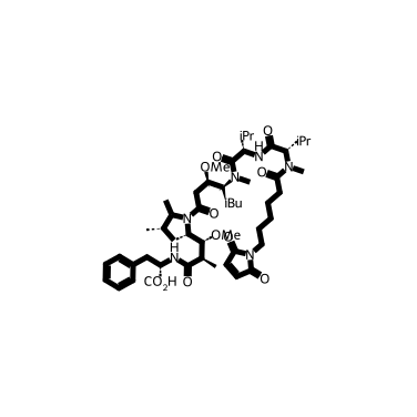 CC[C@H](C)[C@@H]([C@@H](CC(=O)N1C(C)[C@@H](C)C[C@H]1[C@H](OC)[C@@H](C)C(=O)N[C@@H](Cc1ccccc1)C(=O)O)OC)N(C)C(=O)[C@@H](NC(=O)[C@H](C(C)C)N(C)C(=O)CCCCCN1C(=O)C=CC1=O)C(C)C